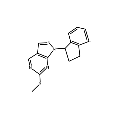 CSc1ncc2cnn(C3CCc4[c]cccc43)c2n1